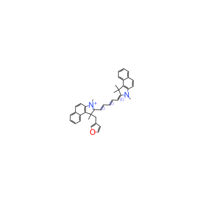 CN1/C(=C/C=C/C=C/C2=[N+](C)c3ccc4ccccc4c3C2(C)Cc2ccoc2)C(C)(C)c2c1ccc1ccccc21